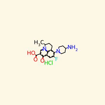 CC1CCc2c(N3CCC(N)CC3)c(F)cc3c(=O)c(C(=O)O)cn1c23.Cl